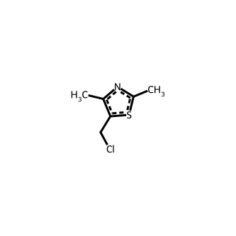 Cc1nc(C)c(CCl)s1